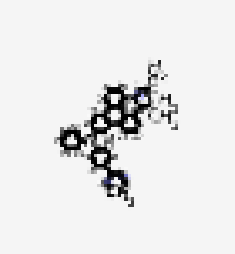 C=C/C=C\C(=C(C)C)c1ccccc1-c1ccccc1-c1ccc(N(c2ccccc2)c2ccc(C(/C=C\CC)=C/C)cc2)cc1